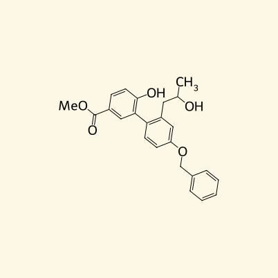 COC(=O)c1ccc(O)c(-c2ccc(OCc3ccccc3)cc2CC(C)O)c1